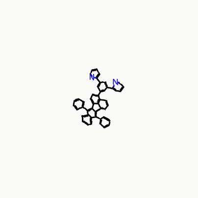 c1ccc(-c2c3c(c(-c4ccccc4)c4ccccc24)-c2ccc(-c4cc(-c5ccccn5)cc(-c5ccccn5)c4)c4cccc-3c24)cc1